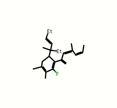 C=C(/C=C(C)\C=C/C)C1=C(F)C(C)=C(C)CC1C(C)(C=CCC)CC